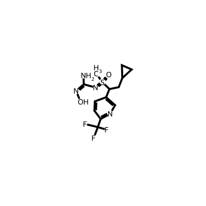 CS(=O)(=N/C(N)=N\O)C(CC1CC1)c1ccc(C(F)(F)F)nc1